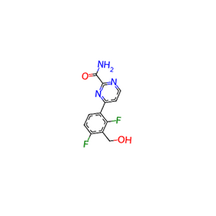 NC(=O)c1nccc(-c2ccc(F)c(CO)c2F)n1